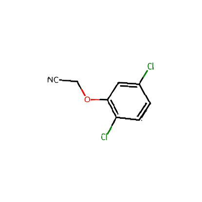 N#CCOc1cc(Cl)c[c]c1Cl